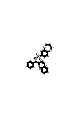 O=S(=O)(N[C@H](c1ccccc1)c1ccc2ccccc2n1)c1ccc2c(c1)OCCCO2